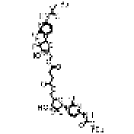 CCCCOC(=O)Nc1ccn([C@H]2O[C@@H](COC(=O)CCC(=O)OC[C@H]3O[C@@H](n4ccc(NC(=O)OCCCC)nc4=O)C(F)(F)[C@@H]3O)[C@H](O)C2(F)F)c(=O)n1